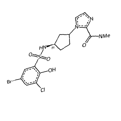 CNC(=O)c1nccn1C1CC[C@@H](NS(=O)(=O)c2cc(Br)cc(Cl)c2O)C1